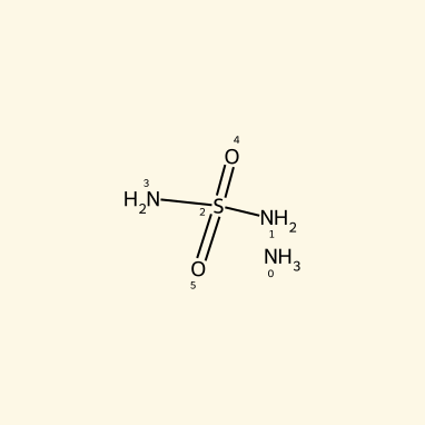 N.NS(N)(=O)=O